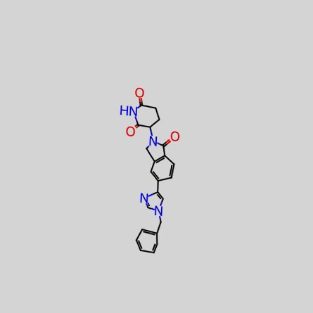 O=C1CCC(N2Cc3cc(-c4cn(Cc5ccccc5)cn4)ccc3C2=O)C(=O)N1